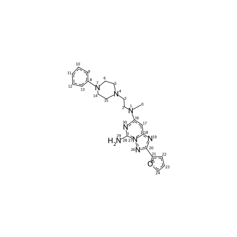 CN(CCN1CCN(c2ccccc2)CC1)c1cc2nc(-c3ccco3)nn2c(N)n1